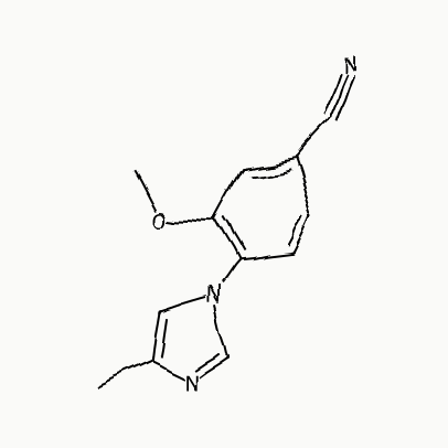 COc1cc(C#N)ccc1-n1cnc(C)c1